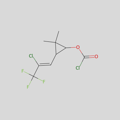 CC1(C)C(C=C(Cl)C(F)(F)F)C1OC(=O)Cl